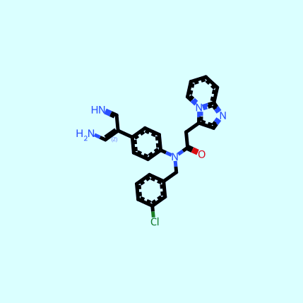 N=C/C(=C\N)c1ccc(N(Cc2cccc(Cl)c2)C(=O)Cc2cnc3ccccn23)cc1